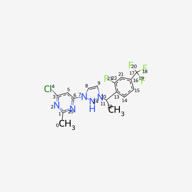 Cc1nc(Cl)cc(N2C=CN(C(C)c3ccc(C(F)(F)F)cc3F)N2)n1